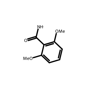 COc1cccc(OC)c1C([NH])=O